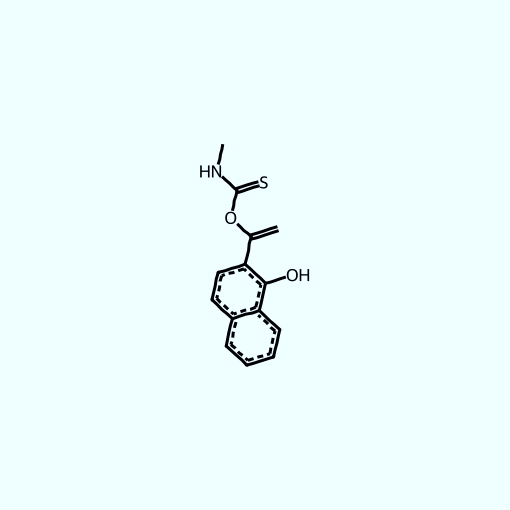 C=C(OC(=S)NC)c1ccc2ccccc2c1O